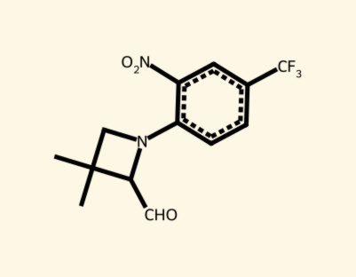 CC1(C)CN(c2ccc(C(F)(F)F)cc2[N+](=O)[O-])C1C=O